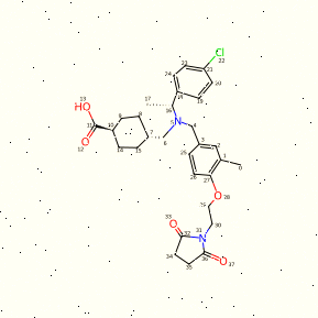 Cc1cc(CN(C[C@H]2CC[C@H](C(=O)O)CC2)[C@H](C)c2ccc(Cl)cc2)ccc1OCCN1C(=O)CCC1=O